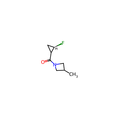 CC1CN(C(=O)C2C[C@H]2F)C1